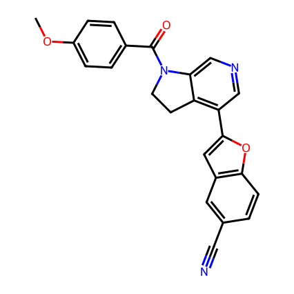 COc1ccc(C(=O)N2CCc3c(-c4cc5cc(C#N)ccc5o4)cncc32)cc1